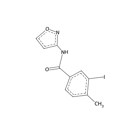 Cc1ccc(C(=O)Nc2ccon2)cc1I